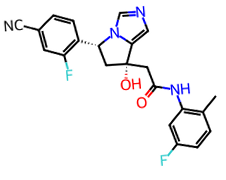 Cc1ccc(F)cc1NC(=O)C[C@@]1(O)C[C@H](c2ccc(C#N)cc2F)n2cncc21